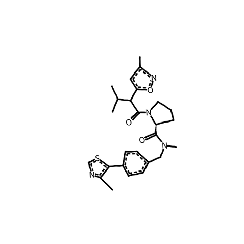 Cc1cc(C(C(=O)N2CCC[C@H]2C(=O)N(C)Cc2ccc(-c3scnc3C)cc2)C(C)C)on1